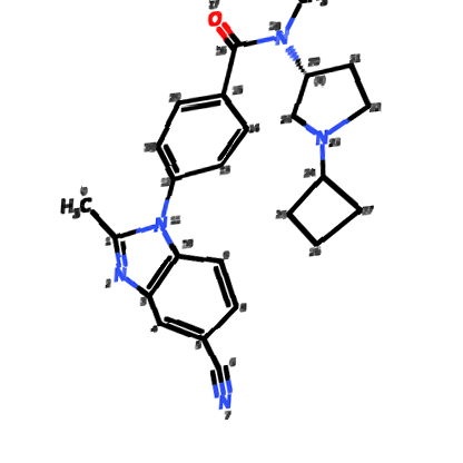 Cc1nc2cc(C#N)ccc2n1-c1ccc(C(=O)N(C)[C@@H]2CCN(C3CCC3)C2)cc1